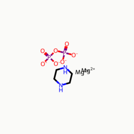 C1CNCCN1.O=P([O-])([O-])OP(=O)([O-])[O-].[Mg+2].[Mg+2]